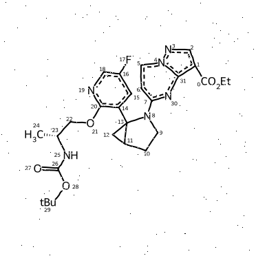 CCOC(=O)c1cnn2ccc(N3CCC4CC43c3cc(F)cnc3OC[C@@H](C)NC(=O)OC(C)(C)C)nc12